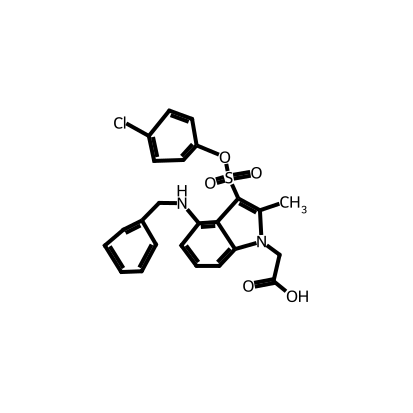 Cc1c(S(=O)(=O)Oc2ccc(Cl)cc2)c2c(NCc3ccccc3)cccc2n1CC(=O)O